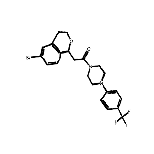 O=C(CC1OCCc2cc(Br)ccc21)N1CCN(c2ccc(C(F)(F)F)cc2)CC1